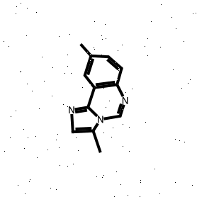 Cc1ccc2ncn3c(C)cnc3c2c1